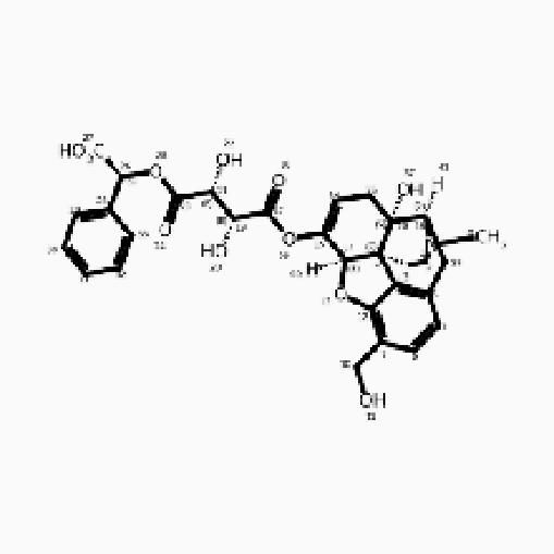 CN1CC[C@]23c4c5ccc(CO)c4O[C@H]2C(OC(=O)[C@H](O)[C@@H](O)C(=O)O[C@H](C(=O)O)c2ccccc2)=CC[C@@]3(O)[C@H]1C5